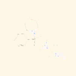 NS(=O)(=O)N1CCC(c2ccccc2)(N2CCOCC2)CC1